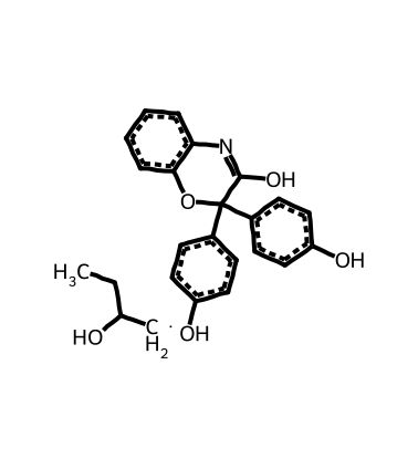 OC1=Nc2ccccc2OC1(c1ccc(O)cc1)c1ccc(O)cc1.[CH2]C(O)CC